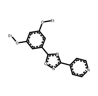 CCOc1cc(OCC)cc(-c2nc(-c3ccncc3)no2)c1